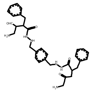 NCC(=O)CC(Cc1ccccc1)C(=O)NNCc1ccc(CNNC(=O)C(Cc2ccccc2)C(C=O)CN)cc1